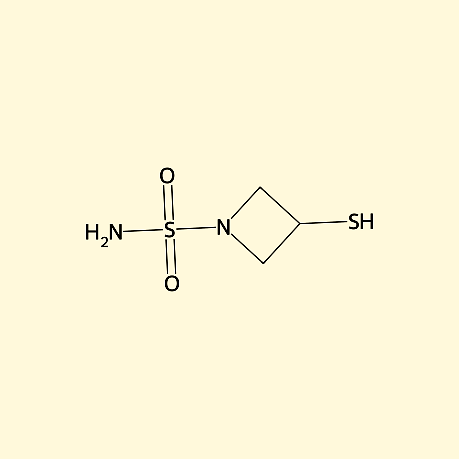 NS(=O)(=O)N1CC(S)C1